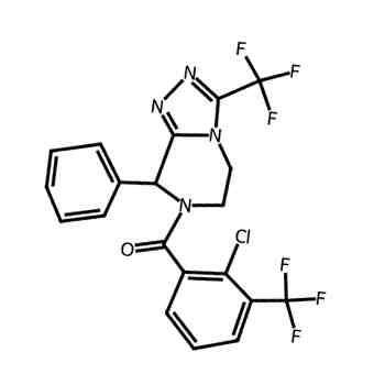 O=C(c1cccc(C(F)(F)F)c1Cl)N1CCn2c(nnc2C(F)(F)F)C1c1ccccc1